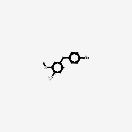 COc1cc(Cc2ccc(O)cc2)ccc1O